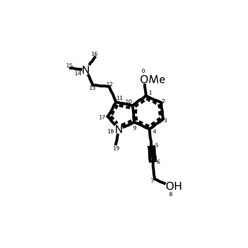 COc1ccc(C#CCO)c2c1c(CCN(C)C)cn2C